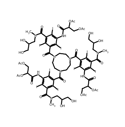 CC(=O)OCC(OC(C)=O)C(=O)Nc1c(I)c(C(=O)N(C)CC(O)CO)c(I)c(C(=O)N2CCN(C(=O)c3c(I)c(NC(=O)C(COC(C)=O)OC(C)=O)c(I)c(C(=O)N(C)CC(O)CO)c3I)CCN(C(=O)c3c(I)c(NC(=O)C(COC(C)=O)OC(C)=O)c(I)c(C(=O)N(C)CC(O)CO)c3I)CC2)c1I